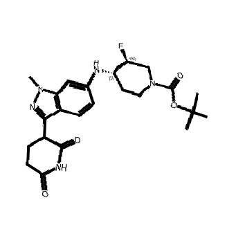 Cn1nc(C2CCC(=O)NC2=O)c2ccc(N[C@H]3CCN(C(=O)OC(C)(C)C)C[C@@H]3F)cc21